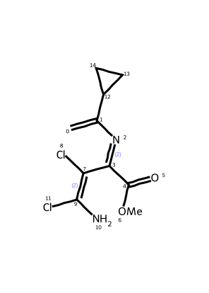 C=C(/N=C(C(=O)OC)\C(Cl)=C(/N)Cl)C1CC1